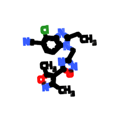 CCc1nc2c(Cl)c(C#N)ccc2n1Cc1noc(-c2c(C)noc2C)n1